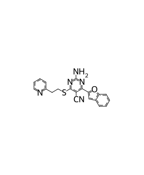 N#Cc1c(SCCc2ccccn2)nc(N)nc1-c1cc2ccccc2o1